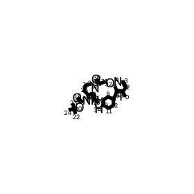 Cc1ccnc2c1[C@H]1CC[C@H](CC1)OC[C@H]1[C@@H](NC(=O)OC(C)(C)C)CCCN1C(=O)CO2